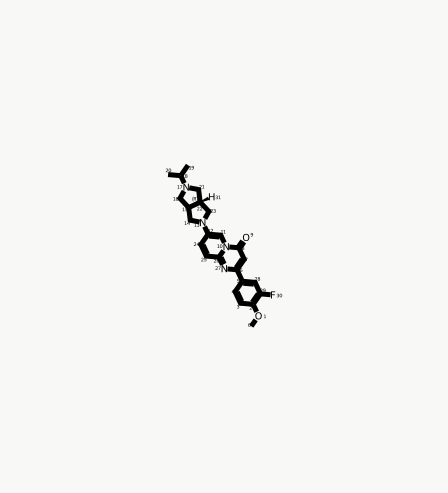 COc1ccc(-c2cc(=O)n3cc(N4CC5CN(C(C)C)C[C@@H]5C4)ccc3n2)cc1F